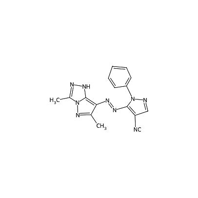 [C-]#[N+]c1cnn(-c2ccccc2)c1/N=N/c1c(C)nn2c(C)n[nH]c12